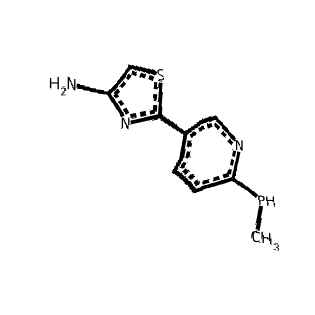 CPc1ccc(-c2nc(N)cs2)cn1